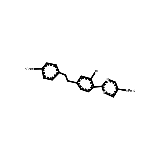 CCCCCc1ccc(CCc2ccc(-c3ncc(CCCCC)cn3)c(Br)c2)cc1